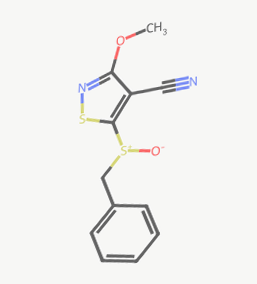 COc1nsc([S+]([O-])Cc2ccccc2)c1C#N